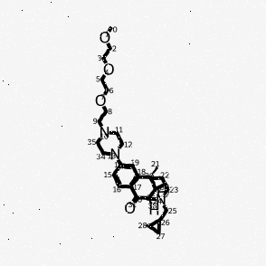 COCCOCCOCCN1CCN(c2ccc3c(c2)[C@]2(C)CCN(CC4CC4)[C@H](C3=O)[C@@H]2C)CC1